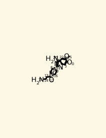 COc1cc2nc(N3CCN(C(=O)CCN)CC3)nc(N)c2cc1OC